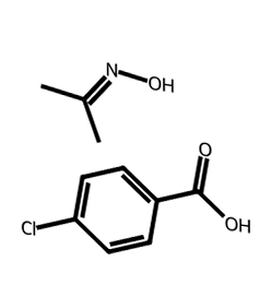 CC(C)=NO.O=C(O)c1ccc(Cl)cc1